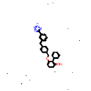 Oc1[c]ccc(OCc2ccc(Cc3cccc(-c4nn[nH]n4)c3)cc2)c1-c1ccccc1